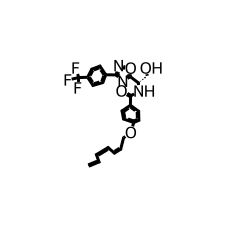 C=C/C=C\C=C/COc1ccc(C(=O)N[C@@H](CO)c2nc(-c3ccc(C(F)(F)F)cc3)no2)cc1